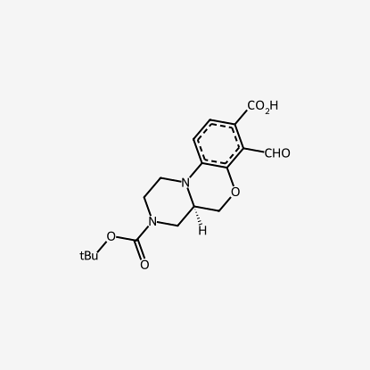 CC(C)(C)OC(=O)N1CCN2c3ccc(C(=O)O)c(C=O)c3OC[C@H]2C1